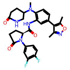 Cc1noc(C)c1-c1ccc(N(C)C2CCC(=O)NC2)c(NC(=O)[C@@H]2CCC(=O)N2c2ccc(F)c(F)c2)c1